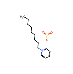 CCCCCCCCC[n+]1ccccc1.O=[SH](=O)[O-]